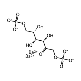 O=C(COP(=O)([O-])[O-])[C@H](O)[C@@H](O)[C@@H](O)COP(=O)([O-])[O-].[Ba+2].[Ba+2]